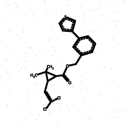 CC1(C)C(C=C(Cl)Cl)C1C(=O)OCc1cccc(-c2ccsc2)c1